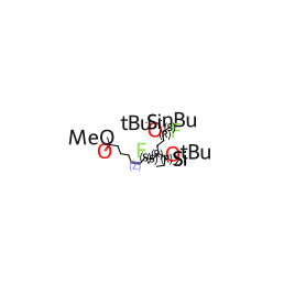 CCCC[C@H](F)[C@@H](CC[C@@H]1[C@@H]([C@H](F)/C=C\CCCC(=O)OC)CC[C@H]1O[Si](C)(C)C(C)(C)C)O[Si](C)(C)C(C)(C)C